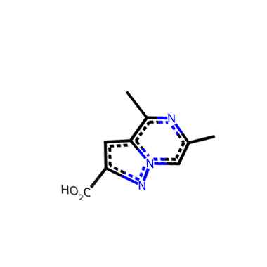 Cc1cn2nc(C(=O)O)cc2c(C)n1